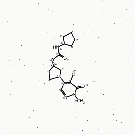 Cn1ncc(N2CC[C@@H](OC(=O)NC3CCCC3)C2)c(Cl)c1=O